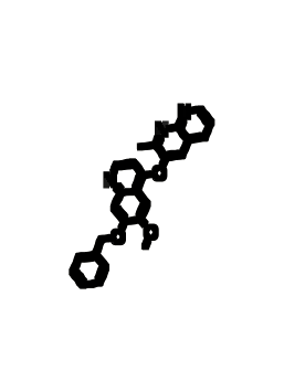 COc1cc2c(Oc3cc4cccnc4nc3C)ccnc2cc1OCc1ccccc1